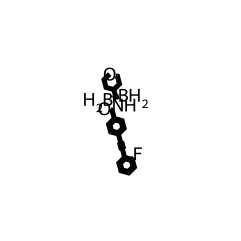 BC(B)(NC(=O)c1ccc(C#Cc2ccccc2F)cc1)C1CCOCC1